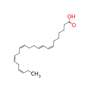 CC/C=C\C/C=C\C/C=C\CC/C=C/C=C\CCCCCC(=O)O